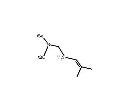 CC(C)=C[SiH2]CN(C(C)(C)C)C(C)(C)C